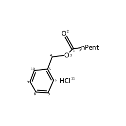 CCCCCC(=O)OCc1ccccc1.Cl